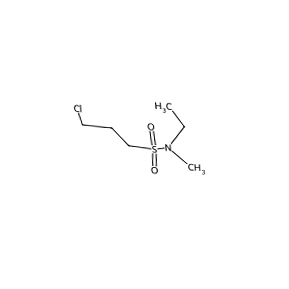 CCN(C)S(=O)(=O)CCCCl